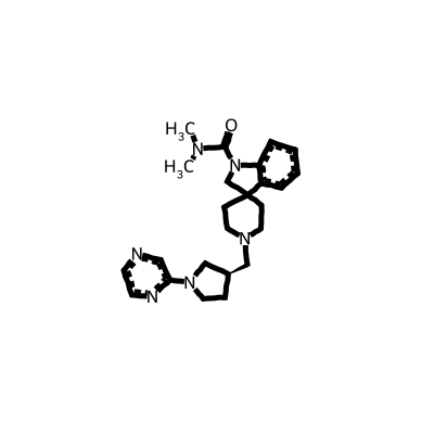 CN(C)C(=O)N1CC2(CCN(C[C@H]3CCN(c4cnccn4)C3)CC2)c2ccccc21